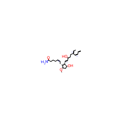 C=C/C=C\C(=C/C)CC[C@H](O)/C=C/[C@@H]1[C@@H](C/C=C\CCCC(N)=O)[C@@H](OC)C[C@H]1O